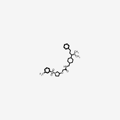 CN(C)C(CCc1ccccc1)C1CCC(CNC(=O)COC2CCN(S(=O)(=O)c3cccc(C(F)(F)F)c3)C2)CC1